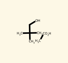 CC(=O)O.CC(C)(C)CO